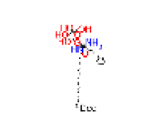 CCCCCCCCCCCCCCCCCCCCCCCCCC(=O)N[C@@H](CO[C@H]1OC(CO)[C@H](O)C(O)C1O)[C@H](N)CCCCc1ccccc1